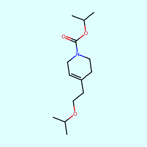 CC(C)OCCC1=CCN(C(=O)OC(C)C)CC1